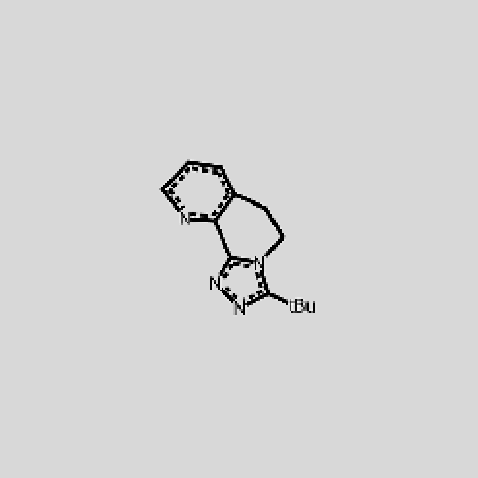 CC(C)(C)c1nnc2n1CCc1cccnc1-2